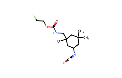 CC1(C)CC(N=C=O)CC(C)(CNC(=O)OCCF)C1